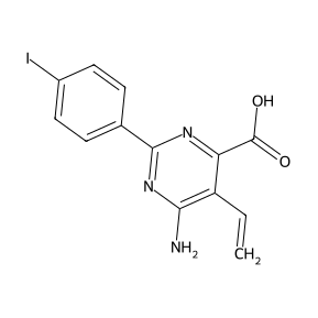 C=Cc1c(N)nc(-c2ccc(I)cc2)nc1C(=O)O